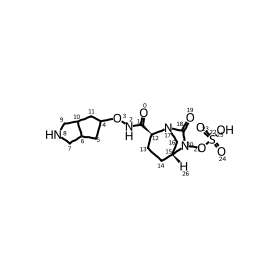 O=C(NOC1CC2CNCC2C1)[C@@H]1CC[C@@H]2CN1C(=O)N2OS(=O)(=O)O